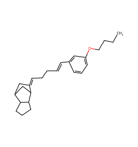 CCCCOc1cccc(C=CCCC=C2CC3CC2C2CCCC32)c1